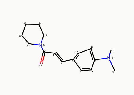 CN(C)c1ccc(C=CC(=O)N2CC[CH]CC2)cc1